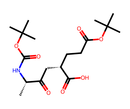 C[C@H](NC(=O)OC(C)(C)C)C(=O)C[C@H](CCC(=O)OC(C)(C)C)C(=O)O